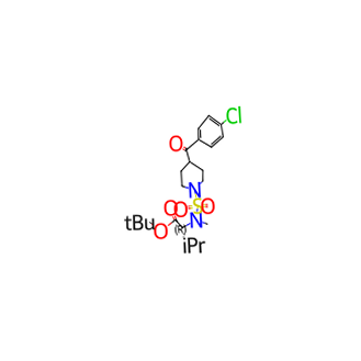 CC(C)[C@H](C(=O)OC(C)(C)C)N(C)S(=O)(=O)N1CCC(C(=O)c2ccc(Cl)cc2)CC1